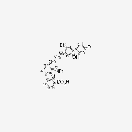 CCc1cc(-c2ccc(F)cc2)c(O)cc1OCCCOc1cccc(Oc2ccccc2C(=O)O)c1CC(C)C